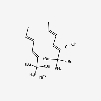 CC=CC=CC(P)(C(C)(C)C)C(C)(C)C.CC=CC=CC(P)(C(C)(C)C)C(C)(C)C.[Cl-].[Cl-].[Ni+2]